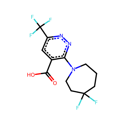 O=C(O)c1cc(C(F)(F)F)nnc1N1CCCC(F)(F)CC1